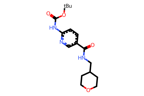 CC(C)(C)OC(=O)Nc1ccc(C(=O)NCC2CCOCC2)cn1